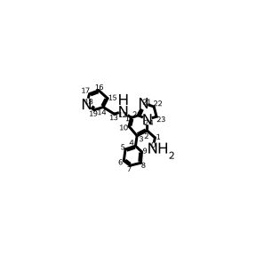 NCC1=C(c2ccccc2)C=C(NCc2cccnc2)C2=NCCN21